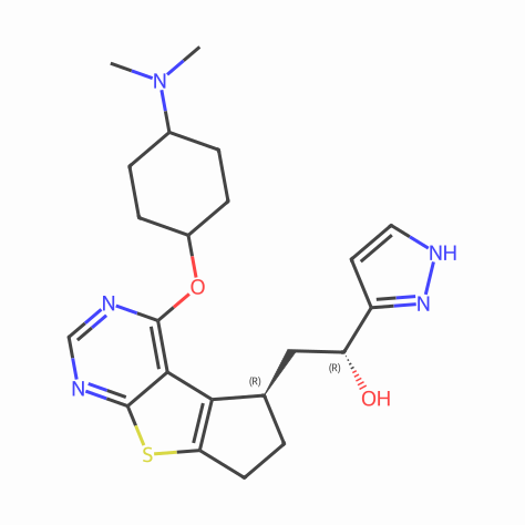 CN(C)C1CCC(Oc2ncnc3sc4c(c23)[C@@H](C[C@@H](O)c2cc[nH]n2)CC4)CC1